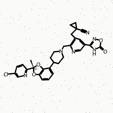 C[C@]1(c2ccc(Cl)cn2)Oc2cccc(C3CCN(Cc4ncc(-c5noc(=O)[nH]5)cc4CC4(C#N)CC4)CC3)c2O1